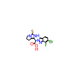 O=C(O)[C@@H](c1[nH]c(=S)n2c1CCC2)n1cc2ccc(Br)c(F)c2n1